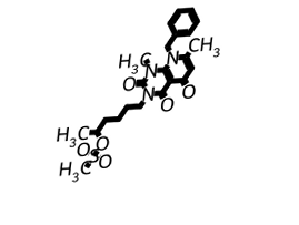 Cc1cc(=O)c2c(=O)n(CCCCC(C)OS(C)(=O)=O)c(=O)n(C)c2n1Cc1ccccc1